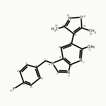 CC(=O)Oc1nc2ncn(Cc3ccc(F)cc3)c2cc1-c1c(C)noc1C